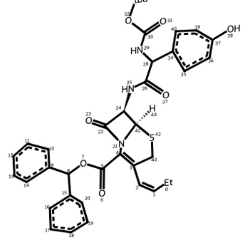 CC/C=C\C1=C(C(=O)OC(c2ccccc2)c2ccccc2)N2C(=O)[C@@H](NC(=O)C(NC(=O)OC(C)(C)C)c3ccc(O)cc3)[C@H]2SC1